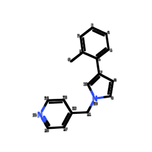 Cc1ccccc1-c1ccn(Cc2ccncc2)c1